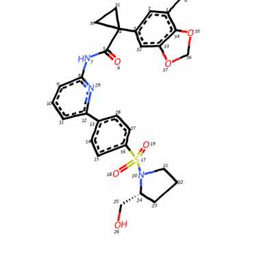 COc1cc(C2(C(=O)Nc3cccc(-c4ccc(S(=O)(=O)N5CCC[C@@H]5CO)cc4)n3)CC2)cc2c1OCO2